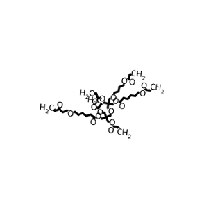 C=CC(=O)CCOCCCCCC(=O)OCC(COCC(COCCCCOC(=O)C=C)(COC(=O)C=C)COC(=O)CCCCCOC(=O)C=C)(COC(=O)C=C)COC(=O)C=C